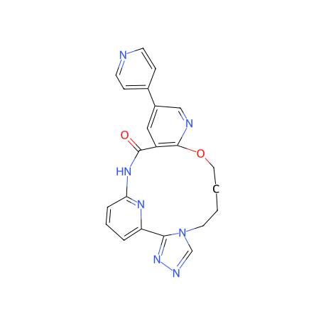 O=C1Nc2cccc(n2)-c2nncn2CCCCOc2ncc(-c3ccncc3)cc21